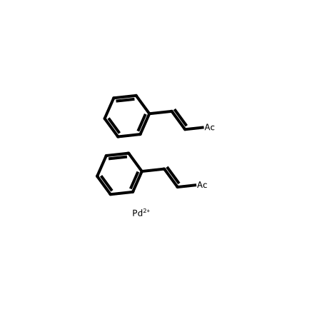 CC(=O)C=Cc1ccccc1.CC(=O)C=Cc1ccccc1.[Pd+2]